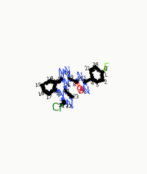 Fc1ccc(-c2noc(-c3nnc4c5ccccc5n5c(Cl)ncc5n34)n2)cc1